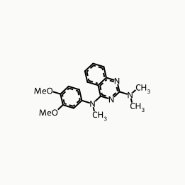 COc1ccc(N(C)c2nc(N(C)C)nc3ccccc23)cc1OC